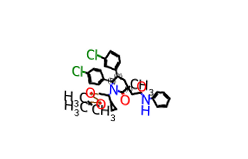 CC(C)(C)S(=O)(=O)CC(C1CC1)N1C(=O)[C@@](C)(CC(=O)Nc2ccccc2)C[C@H](c2cccc(Cl)c2)[C@@H]1c1ccc(Cl)cc1